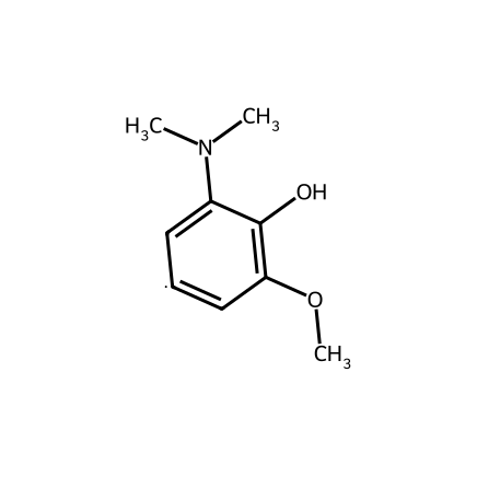 COc1c[c]cc(N(C)C)c1O